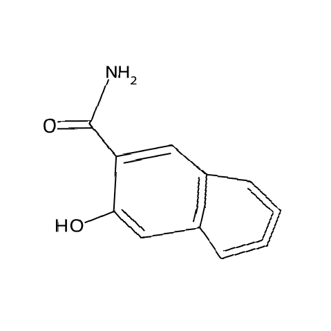 NC(=O)c1cc2c(cc1O)C=C=C=C2